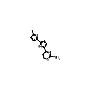 Cc1ccc(-c2ccc(-c3ccnc(N)n3)[nH]2)s1